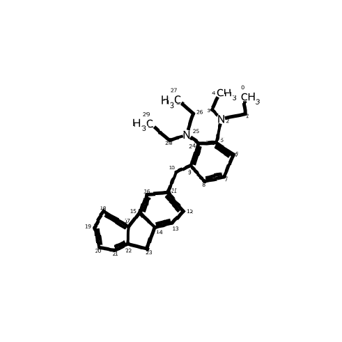 CCN(CC)c1cccc(Cc2ccc3c(c2)-c2ccccc2C3)c1N(CC)CC